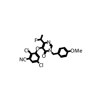 COc1ccc(Cn2cnc(C(C)F)c(Oc3cc(Cl)cc(C#N)c3Cl)c2=O)cc1